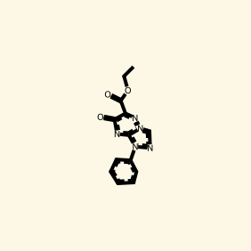 CCOC(=O)c1nn2cnn(-c3ccccc3)c2nc1=O